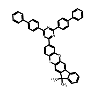 CC1(C)c2ccccc2-c2cc3c(cc21)Oc1ccc(-c2nc(-c4ccc(-c5ccccc5)cc4)nc(-c4ccc(-c5ccccc5)cc4)n2)cc1O3